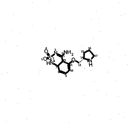 NC1=NS(=O)(=O)NC2C=CC=C(OC[C@@H]3CCCN3)C12